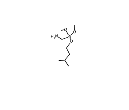 CO[Si](CN)(OC)OCCC(C)C